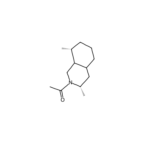 CC(=O)N1CC2C(CCC[C@H]2C)C[C@@H]1C